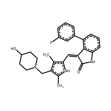 Cc1[nH]c(/C=C2\C(=O)Nc3cccc(-c4cccc(F)c4)c32)c(C)c1CN1CCC(O)CC1